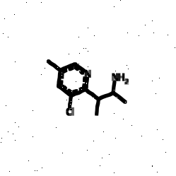 Cc1cnc(C(C)C(C)N)c(Cl)c1